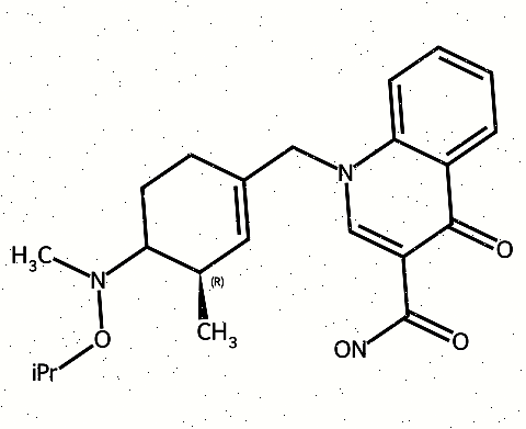 CC(C)ON(C)C1CCC(Cn2cc(C(=O)N=O)c(=O)c3ccccc32)=C[C@H]1C